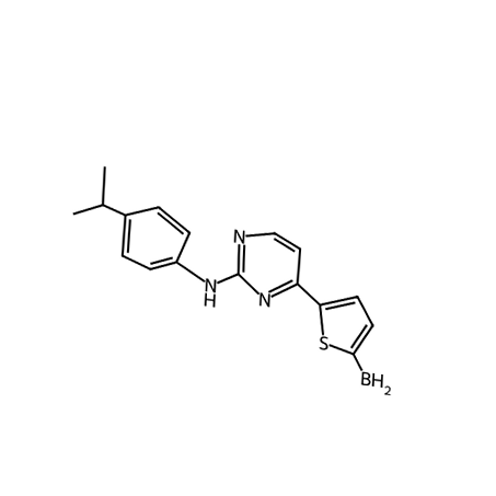 Bc1ccc(-c2ccnc(Nc3ccc(C(C)C)cc3)n2)s1